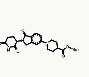 CCCCOC(=O)C1CCN(c2ccc3c(c2)CN(C2CCC(=O)NC2=O)C3=O)CC1